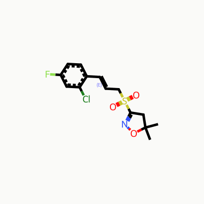 CC1(C)CC(S(=O)(=O)C/C=C/c2ccc(F)cc2Cl)=NO1